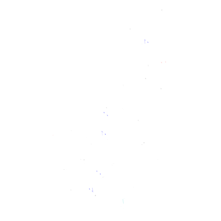 O=c1ccn(-c2cccc(S(=O)(=O)N3CCCC3)c2)nc1-c1ccnn1-c1ccccc1F